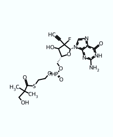 C#CC1(F)C(O)[C@@H](CO[PH](=O)OCCSC(=O)C(C)(C)CO)O[C@H]1n1cnc2c(=O)[nH]c(N)nc21